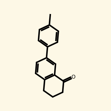 Cc1ccc(-c2ccc3c(c2)C(=O)CCC3)cc1